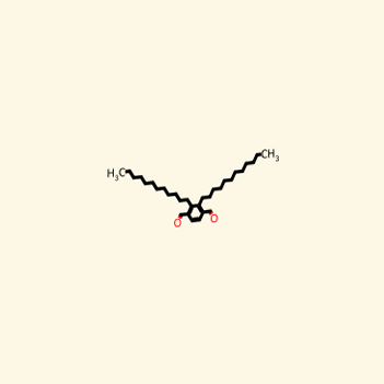 CCCCCCCCCCCCc1c(C=O)ccc(C=O)c1CCCCCCCCCCCC